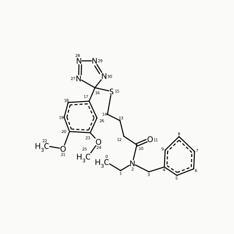 CCN(Cc1ccccc1)C(=O)CCCSC1(c2ccc(OC)c(OC)c2)N=NN=N1